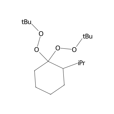 CC(C)C1CCCCC1(OOC(C)(C)C)OOC(C)(C)C